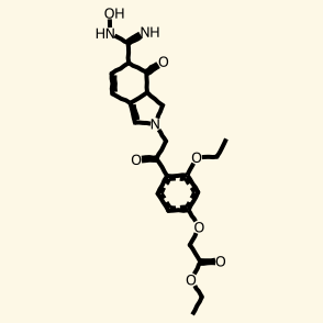 CCOC(=O)COc1ccc(C(=O)CN2C=C3C=CC(C(=N)NO)C(=O)C3C2)c(OCC)c1